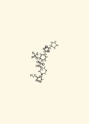 Cc1nncn1[C@@H]1CCC[C@H](NS(=O)(=O)c2ccc(-c3noc(C4CCCC4)n3)cc2OC(F)(F)F)C1